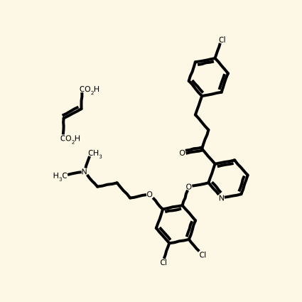 CN(C)CCCOc1cc(Cl)c(Cl)cc1Oc1ncccc1C(=O)CCc1ccc(Cl)cc1.O=C(O)C=CC(=O)O